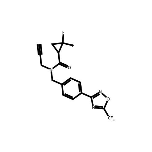 C#CCN(Cc1ccc(-c2noc(C(F)(F)F)n2)cc1)C(=O)C1CC1(F)F